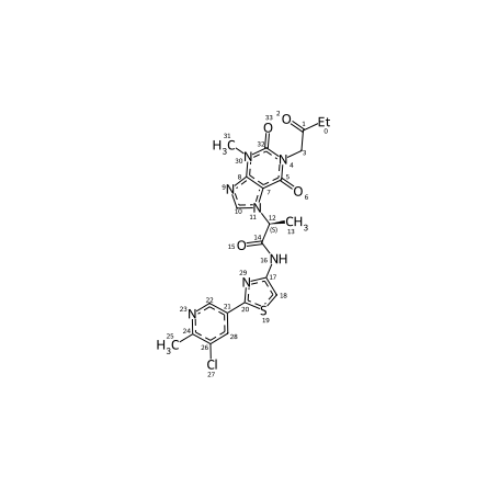 CCC(=O)Cn1c(=O)c2c(ncn2[C@@H](C)C(=O)Nc2csc(-c3cnc(C)c(Cl)c3)n2)n(C)c1=O